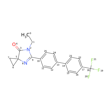 CCN1C(=O)C2(CC2)N=C1c1ccc(-c2ccc(C(F)(F)F)cc2)cc1